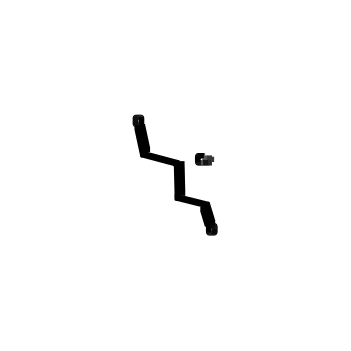 O=CC=CC=O.[Cu]